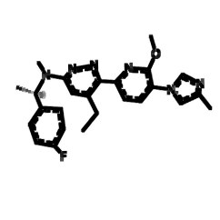 CCc1cc(N(C)[C@@H](C)c2ccc(F)cc2)nnc1-c1ccc(-n2cnc(C)c2)c(OC)n1